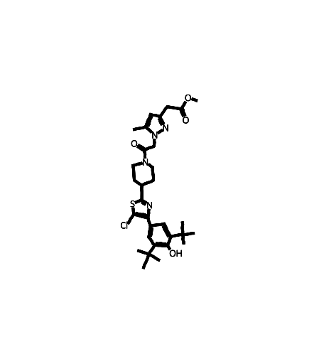 COC(=O)Cc1cc(C)n(CC(=O)N2CCC(c3nc(-c4cc(C(C)(C)C)c(O)c(C(C)(C)C)c4)c(Cl)s3)CC2)n1